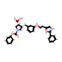 O=C(O)[C@H]1CN(C(=O)Oc2ccccc2)C[C@H]1Cc1cccc(OCCc2cnc(-c3ccccc3)o2)c1